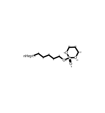 CCCCCCCCCCCCOP1(=O)OCCCO1